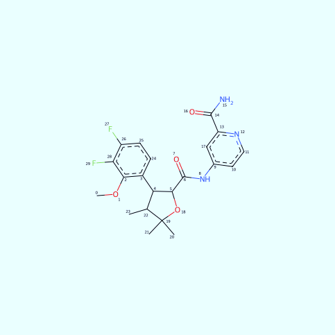 COc1c(C2C(C(=O)Nc3ccnc(C(N)=O)c3)OC(C)(C)C2C)ccc(F)c1F